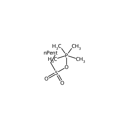 CCCCCCS(=O)(=O)OP(C)(C)(C)C